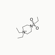 CC[N+]1(CC)CCN(S(=O)(=O)CC)CC1